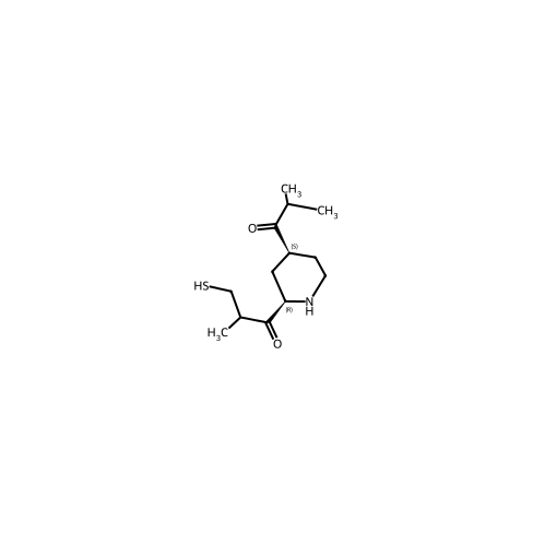 CC(C)C(=O)[C@H]1CCN[C@@H](C(=O)C(C)CS)C1